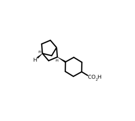 O=C(O)C1CCC([C@H]2C[C@@H]3CCC2C3)CC1